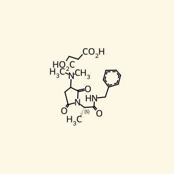 C[C@@H](C(=O)NCc1ccccc1)N1C(=O)CC(N(C)C)C1=O.O=C(O)CCC(=O)O